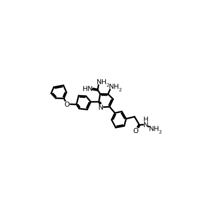 N=C(N)c1c(N)cc(-c2cccc(CC(=O)NN)c2)nc1-c1ccc(Oc2ccccc2)cc1